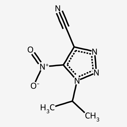 CC(C)n1nnc(C#N)c1[N+](=O)[O-]